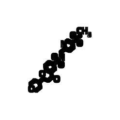 CCS(=O)(=O)c1ccc(C=NS(=O)(=O)c2ccc3c(c2)C(=O)CC(C2CCOCC2)O3)nc1